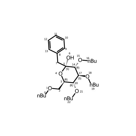 CCCCOC[C@H]1O[C@@](O)(Cc2ccccc2)[C@H](OCCCC)[C@@H](OCCCC)[C@@H]1OCCCC